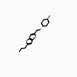 CCCc1cc2sc(CC[C@H]3CC[C@H](C)CC3)cc2s1